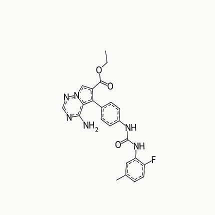 CCOC(=O)c1cn2ncnc(N)c2c1-c1ccc(NC(=O)Nc2cc(C)ccc2F)cc1